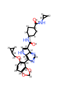 O=C(NC1CCC(C(=O)NC2CC2)CC1)c1c[nH]c2c(-c3c(OCC4CC4)ccc4c3OCO4)ncnc12